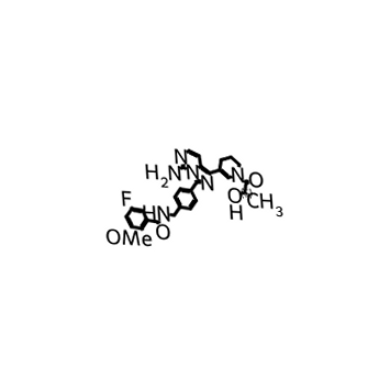 COc1ccc(F)cc1C(=O)NCc1ccc(-c2nc(C3=CN(C(=O)[C@H](C)O)CCC3)c3ccnc(N)n23)cc1